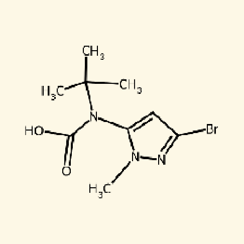 Cn1nc(Br)cc1N(C(=O)O)C(C)(C)C